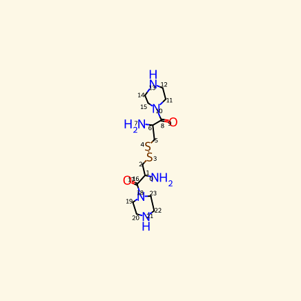 NC(CSSCC(N)C(=O)N1CCNCC1)C(=O)N1CCNCC1